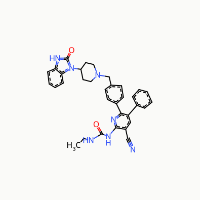 CCNC(=O)Nc1nc(-c2ccc(CN3CCC(n4c(=O)[nH]c5ccccc54)CC3)cc2)c(-c2ccccc2)cc1C#N